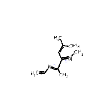 C=C/N=C(C)/C(C=C(C)C)=N/C